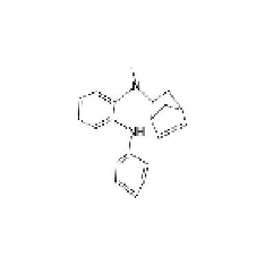 CN(c1ccccc1Nc1ccccc1)C1CC2C=CC1C2